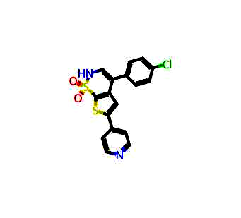 O=S1(=O)NC=C(c2ccc(Cl)cc2)c2cc(-c3ccncc3)sc21